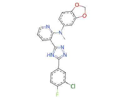 CN(c1ccc2c(c1)OCO2)c1ncccc1-c1nnc(-c2ccc(F)c(Cl)c2)[nH]1